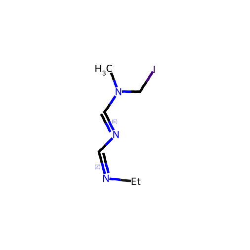 CC/N=C\N=C\N(C)CI